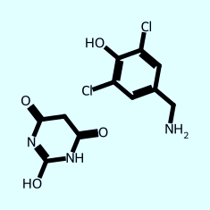 NCc1cc(Cl)c(O)c(Cl)c1.O=C1CC(=O)NC(O)=N1